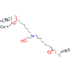 CCCCCCCCC(CCCCCCCC)OC(=O)CCCCCCCN(CCO)CCCCCCCC(=O)OCC1CC1CCCCCC